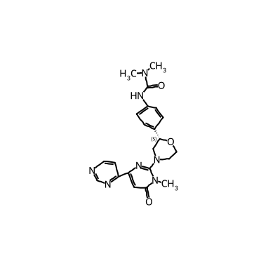 CN(C)C(=O)Nc1ccc([C@H]2CN(c3nc(-c4ccncn4)cc(=O)n3C)CCO2)cc1